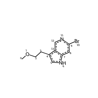 COCCc1c[nH]c2cc(Br)ncc12